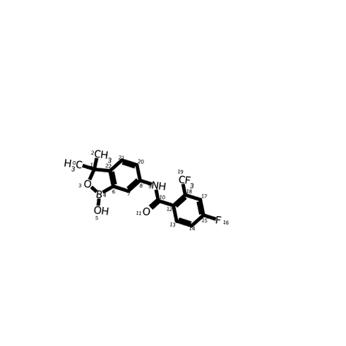 CC1(C)OB(O)c2cc(NC(=O)c3ccc(F)cc3C(F)(F)F)ccc21